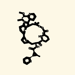 CCn1c(-c2cccnc2[C@H](C)OC)c2c3cc(ccc31)C1=CCC(=N1)C[C@H](NC(=O)[C@H]1[C@@H](C)[C@@H]1c1ccccn1)C(=O)N1CCC[C@H](N1)C(=O)OCC(C)(C)C2